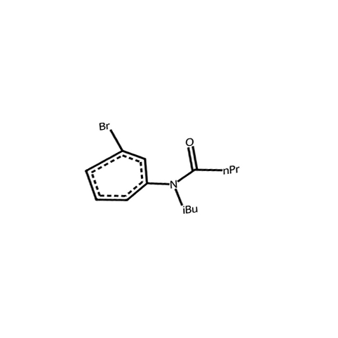 CCCC(=O)N(c1cccc(Br)c1)C(C)CC